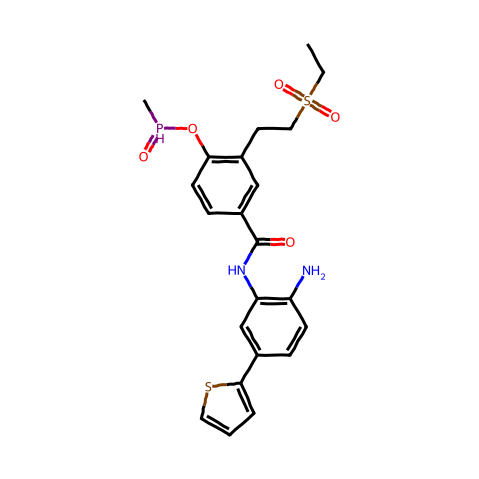 CCS(=O)(=O)CCc1cc(C(=O)Nc2cc(-c3cccs3)ccc2N)ccc1O[PH](C)=O